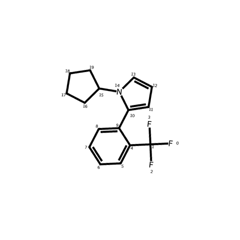 FC(F)(F)c1ccccc1-c1cccn1C1CCCC1